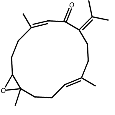 CC(C)=C1CC/C(C)=C/CCC2(C)OC2CC/C(C)=C\C1=O